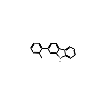 Cc1ccccc1-c1ccc2c(c1)[nH]c1ccccc12